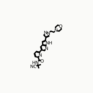 CC(C)(C#N)NC(=O)c1cccc(-c2cnc3[nH]c(-c4cnn(CCN5CCOCC5)c4)cc3c2)n1